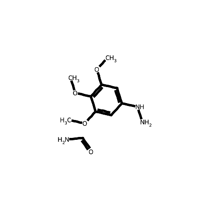 COc1cc(NN)cc(OC)c1OC.NC=O